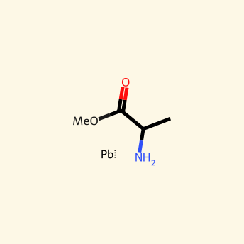 COC(=O)C(C)N.[Pb]